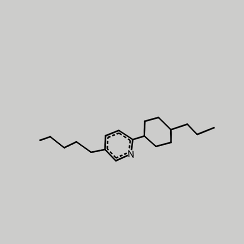 CCCCCc1ccc(C2CCC(CCC)CC2)nc1